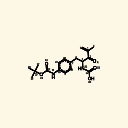 C=C(C)C(=O)C(Cc1ccc(NC(=O)OC(C)(C)C)cc1)NC(=O)O